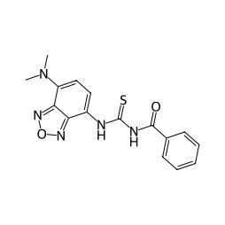 CN(C)c1ccc(NC(=S)NC(=O)c2ccccc2)c2nonc12